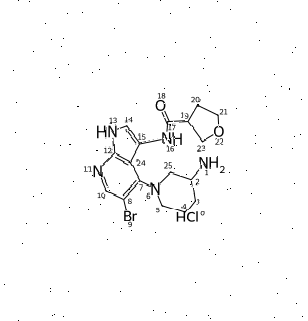 Cl.NC1CCCN(c2c(Br)cnc3[nH]cc(NC(=O)C4CCOC4)c23)C1